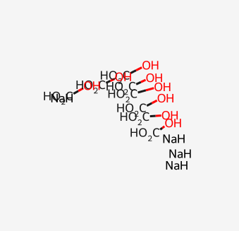 O=C(O)O.O=C(O)O.O=C(O)O.O=C(O)O.O=C(O)O.O=C(O)O.O=C(O)O.O=C(O)O.[NaH].[NaH].[NaH].[NaH]